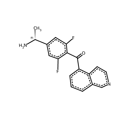 C[C@@H](N)c1cc(F)c(C(=O)c2cccc3cnccc23)c(F)c1